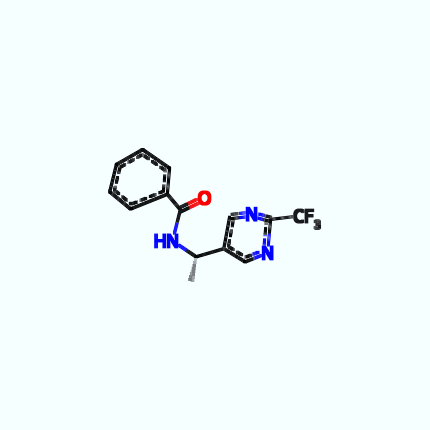 C[C@H](NC(=O)c1ccccc1)c1cnc(C(F)(F)F)nc1